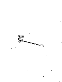 CCCCCCCCCCCCCCCCCCOc1cccc2ccc(C(=O)O)nc12